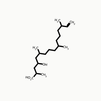 C=CC(C)CCCC(C)CCCC(C)CC(O)CC(C)C(=O)O